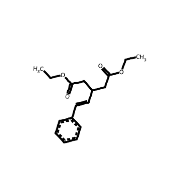 CCOC(=O)CC(/C=C/c1ccccc1)CC(=O)OCC